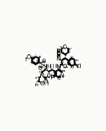 COc1ccc(S(=O)(=O)N[C@@H](CCc2c(F)cncc2NC(=O)[C@@H](N=[N+]=[N-])[C@@H](c2ccc(Cl)cc2)C2CCOCC2)CN(C[C@@H](C)O)C(=O)O)cc1